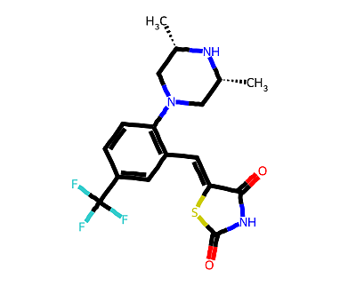 C[C@@H]1CN(c2ccc(C(F)(F)F)cc2/C=C2\SC(=O)NC2=O)C[C@H](C)N1